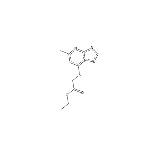 CCOC(=O)CSc1cc(C)nc2ncnn12